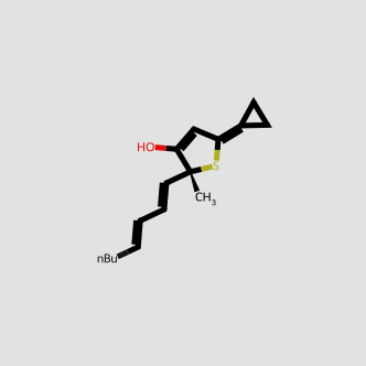 CCCC/C=C/C=C/[C@@]1(C)SC(=C2CC2)C=C1O